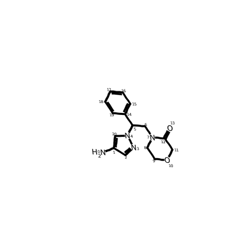 Nc1cnn(C(CN2CCOCC2=O)c2ccccc2)c1